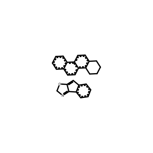 C1=C2OCN=C2c2ccccc21.c1ccc2c(c1)ccc1c3c(ccc12)CCCC3